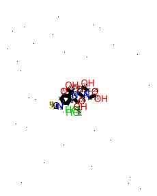 C[C@](C(=O)O)(c1ccc(N=C=S)cc1)N(CCN(CC(=O)O)CC(=O)O)CC(=O)O.Cl.Cl